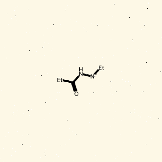 CC[N]NC(=O)CC